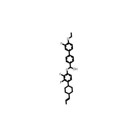 C/C=C/C1CCC(c2ccc(OC(O)c3ccc(-c4ccc(OCC)c(F)c4)cc3)c(F)c2F)CC1